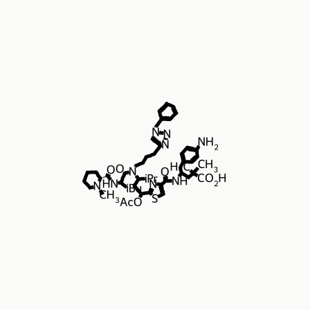 CCC(C)C(NC(=O)[C@H]1CCCCN1C)C(=O)N(CCCCc1cn(Cc2ccccc2)nn1)C(CC(OC(C)=O)c1nc(C(=O)NC(Cc2ccc(N)cc2)CC(C)(C)C(=O)O)cs1)C(C)C